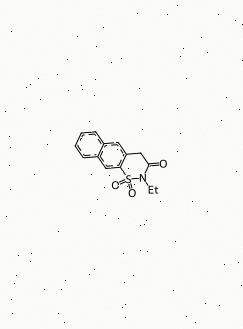 CCN1C(=O)Cc2cc3ccccc3cc2S1(=O)=O